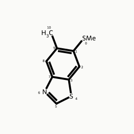 CSc1cc2scnc2cc1C